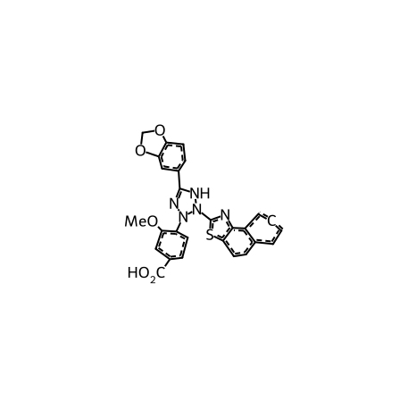 COc1cc(C(=O)O)ccc1N1N=C(c2ccc3c(c2)OCO3)NN1c1nc2c(ccc3ccccc32)s1